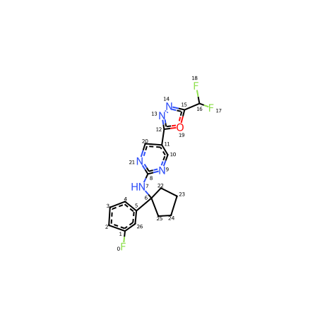 Fc1cccc(C2(Nc3ncc(-c4nnc(C(F)F)o4)cn3)CCCC2)c1